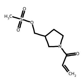 C=CC(=O)N1CCC(COS(C)(=O)=O)C1